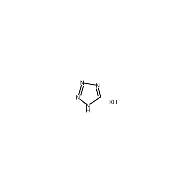 [KH].c1nnn[nH]1